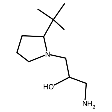 CC(C)(C)C1CCCN1CC(O)CN